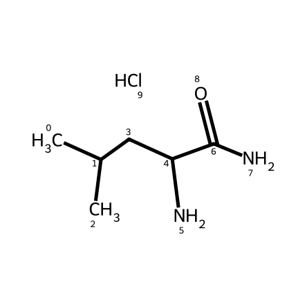 CC(C)CC(N)C(N)=O.Cl